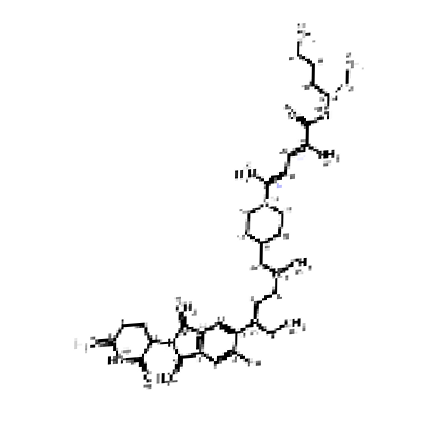 C=C1CCC(n2c(=C)c3cc(F)c(N(CC)CCN(C)CC4CCN(/C(N)=C/C=C(\N)C(=O)N[C@@H](CC)CCCC)CC4)cc3c2=C)C(=O)N1